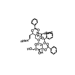 CCCCCCC=CC(OC(=O)c1ccccc1)C(CO[C@H]1O[C@H](CO)[C@H](O)[C@H](OC(=O)c2ccccc2)[C@H]1OC(=O)c1ccccc1)NC(=O)CCCCC